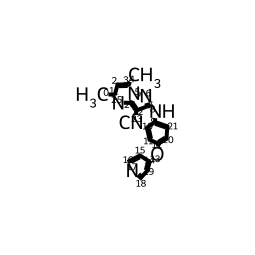 Cc1cc(C)n2nc(Nc3ccc(Oc4ccncc4)cc3)c(C#N)c2n1